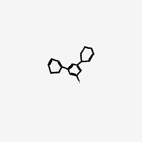 Ic1cc(C2=CC=CCC2)cc(C2C=CCCC2)c1